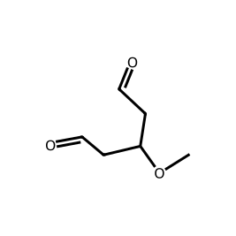 COC(CC=O)CC=O